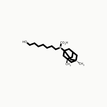 C[C@]12CC3CC(N(CCCCCCCO)C(=O)O)(C1)C[C@@](C)(C3)C2